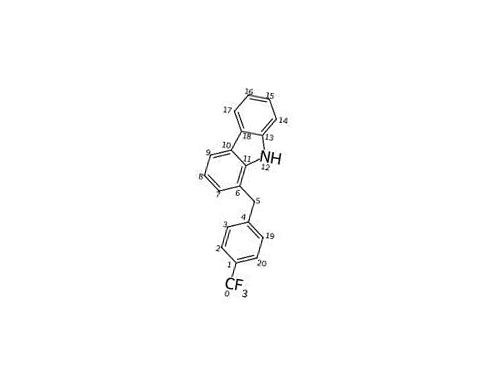 FC(F)(F)c1ccc(Cc2cccc3c2[nH]c2ccccc23)cc1